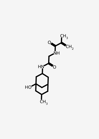 C=C(C)C(=O)NCC(=O)NC1CC2CC(C)CC(O)(C2)C1